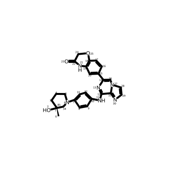 C[C@@]1(O)CCCN(c2ccc(Nc3nc(-c4ccc5c(c4)NC(=O)CO5)cn4ccnc34)cc2)C1